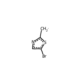 [CH2]c1ncc(Br)s1